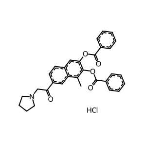 Cc1c(OC(=O)c2ccccc2)c(OC(=O)c2ccccc2)cc2ccc(C(=O)CN3CCCC3)cc12.Cl